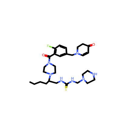 CCCCC(CNC(=S)NCN1CCNCC1)N1CCN(C(=O)c2cc(CN3C=CC(=O)CC3)ccc2F)CC1